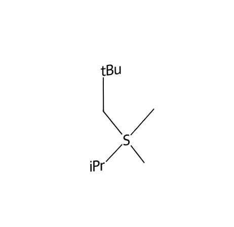 CC(C)S(C)(C)CC(C)(C)C